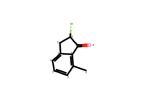 Cc1cccc2c1C(=O)C(F)C2